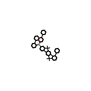 CC1(C)c2cc(N(c3ccc(-c4ccccc4)cc3)c3ccccc3-c3ccccc3)ccc2-c2cc3c(cc21)-c1c(-c2ccccc2)cccc1C3(C)C